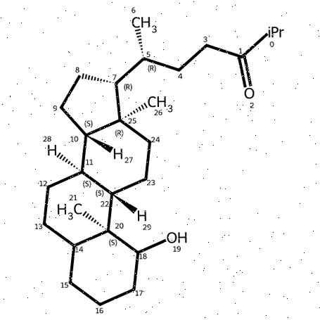 CC(C)C(=O)CC[C@@H](C)[C@H]1CC[C@H]2[C@@H]3CCC4CCCC(O)[C@]4(C)[C@H]3CC[C@]12C